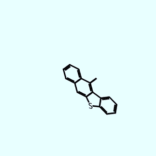 Cc1c2ccccc2cc2sc3ccccc3c12